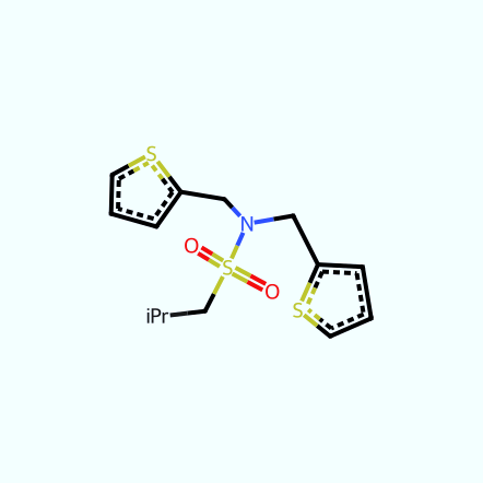 CC(C)CS(=O)(=O)N(Cc1cccs1)Cc1cccs1